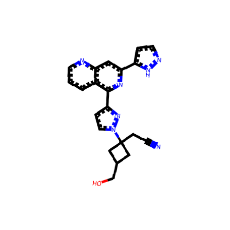 N#CCC1(n2ccc(-c3nc(-c4ccn[nH]4)cc4ncccc34)n2)CC(CO)C1